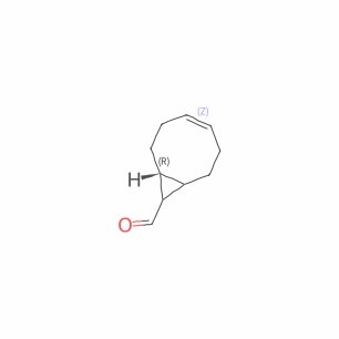 O=CC1C2CC/C=C\CC[C@@H]12